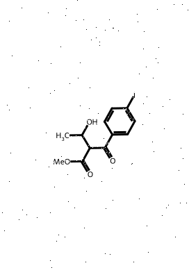 COC(=O)C(C(=O)c1ccc(I)cc1)C(C)O